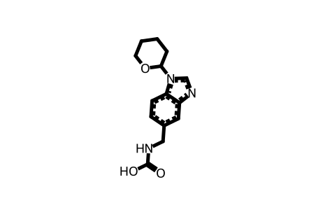 O=C(O)NCc1ccc2c(c1)ncn2C1CCCCO1